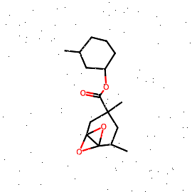 CC1CCCC(OC(=O)C2(C)CC(C)C34OC3(C2)O4)C1